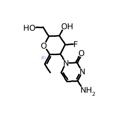 C/C=C1/OC(CO)C(O)C(F)C1n1ccc(N)nc1=O